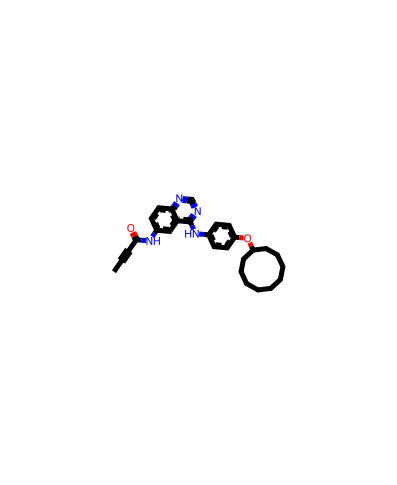 CC#CC(=O)Nc1ccc2ncnc(Nc3ccc(OC4CCCCCCCCC4)cc3)c2c1